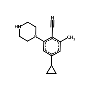 Cc1cc(C2CC2)cc(N2CCNCC2)c1C#N